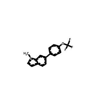 Cn1c[c]c2ccc(-c3ccc(OC(F)(F)F)cc3)cc21